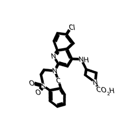 O=C(O)N1CC(Nc2cc(N3CCS(=O)(=O)c4ccccc4C3)nc3ccc(Cl)cc23)C1